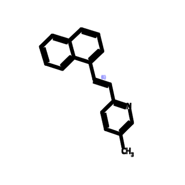 Cc1ccc(/C=C/c2cccc3ccccc23)nc1